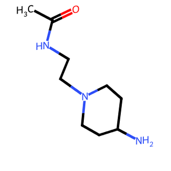 CC(=O)NCCN1CCC(N)CC1